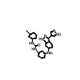 Cc1cccc(NC(=O)Nc2cccc(Nc3ccc4c(-c5cn[nH]c5)n[nH]c4c3)c2)c1